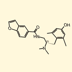 Cc1cc(O)cc(C)c1C[C@@H](CNC(=O)c1ccc2occc2c1)N(C)C